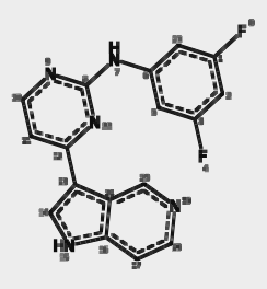 Fc1cc(F)cc(Nc2nccc(-c3c[nH]c4ccncc34)n2)c1